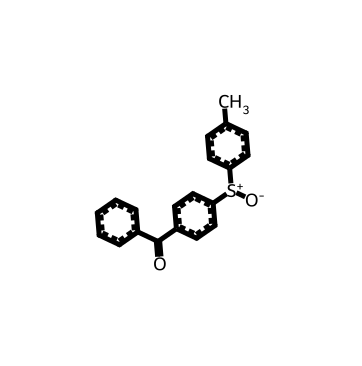 Cc1ccc([S+]([O-])c2ccc(C(=O)c3ccccc3)cc2)cc1